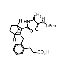 C=C(NC(=O)[C@H]1[C@@H](Cc2ccccc2CCC(=O)O)[C@@H]2CC[C@H]1O2)C(=O)NCCCCC